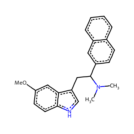 COc1ccc2[nH]cc(CC(c3ccc4ccccc4c3)N(C)C)c2c1